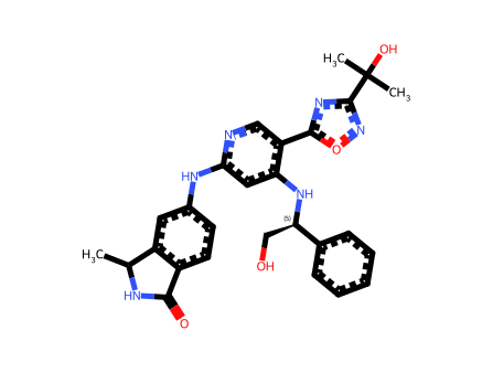 CC1NC(=O)c2ccc(Nc3cc(N[C@H](CO)c4ccccc4)c(-c4nc(C(C)(C)O)no4)cn3)cc21